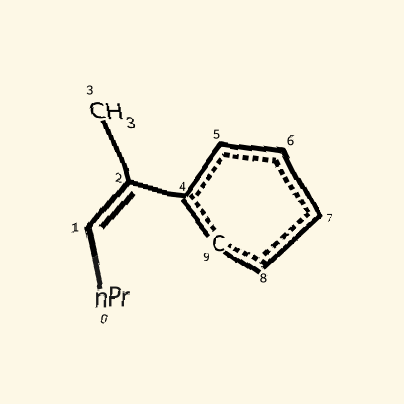 CCC/C=C(/C)c1ccccc1